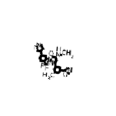 CCNc1cc(-c2cc(C)cc(-c3cnco3)c2)nn(-c2cc(-c3ccnnc3)ccc2C(F)(F)F)c1=O